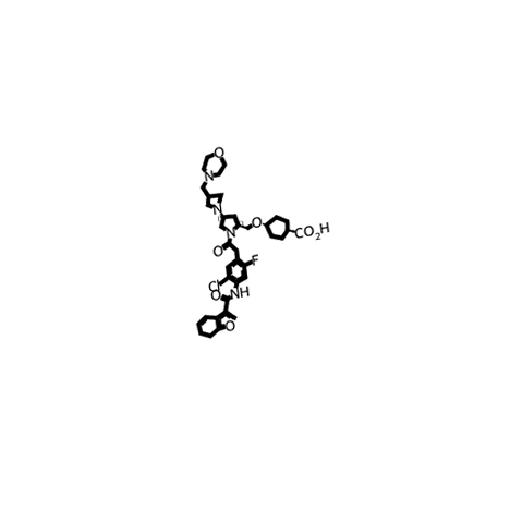 O=C(Nc1cc(F)c(CC(=O)N2C[C@@H](N3CC(CN4CCOCC4)C3)C[C@H]2CO[C@H]2CC[C@H](C(=O)O)CC2)cc1Cl)c1coc2c1C=CCC2